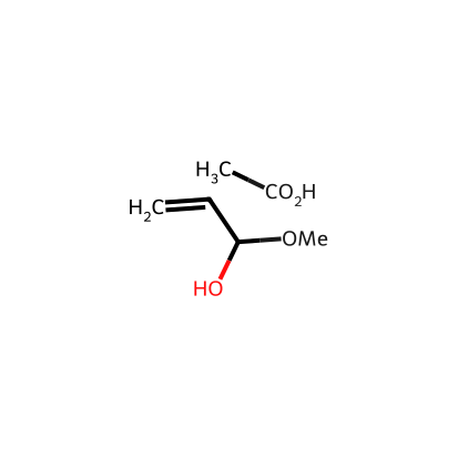 C=CC(O)OC.CC(=O)O